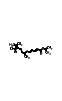 CC(CC=CC=CC(=O)OC(C)C)CCC1C(C)(C)C1(Cl)Cl